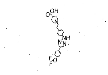 O=C(O)C1CCN(C=Cc2ccc(Nc3ncc(-c4ccc(OC(F)F)cc4)cn3)cc2)CC1